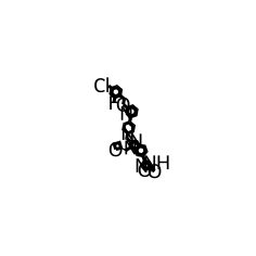 O=c1[nH]c(-c2ccc3nc(CN4CC=C(c5cccc(OCc6ccc(Cl)cc6F)n5)CC4)n(C[C@@H]4CCO4)c3c2)no1